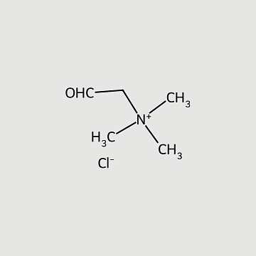 C[N+](C)(C)CC=O.[Cl-]